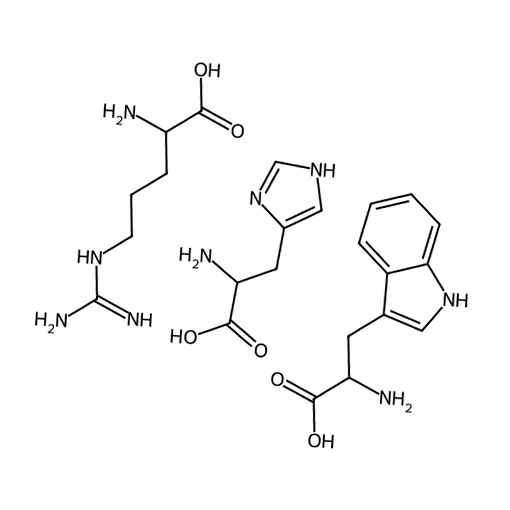 N=C(N)NCCCC(N)C(=O)O.NC(Cc1c[nH]c2ccccc12)C(=O)O.NC(Cc1c[nH]cn1)C(=O)O